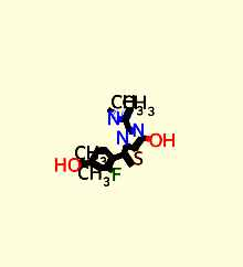 C/C=N\C(=C/C)c1nc(O)c2scc(-c3ccc(C(C)(C)O)cc3F)c2n1